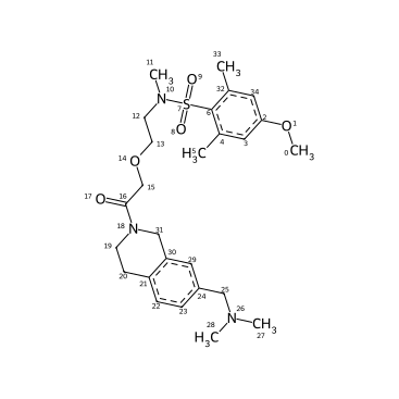 COc1cc(C)c(S(=O)(=O)N(C)CCOCC(=O)N2CCc3ccc(CN(C)C)cc3C2)c(C)c1